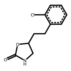 O=C1NCC(CCc2ccccc2Cl)O1